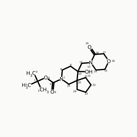 CC(C)(C)OC(=O)N1CCC(O)(CN2CCOCC2=O)C2(CCCC2)C1